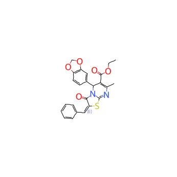 CCOC(=O)C1=C(C)N=c2s/c(=C/c3ccccc3)c(=O)n2C1c1ccc2c(c1)OCO2